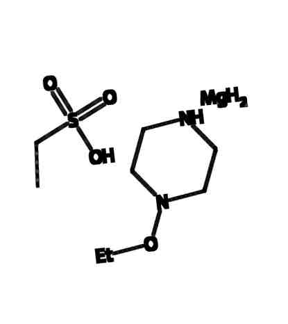 CCON1CCNCC1.CCS(=O)(=O)O.[MgH2]